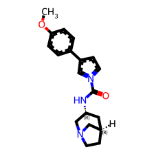 COc1ccc(-c2ccn(C(=O)N[C@@H]3C[C@H]4CCN(C4)C3)c2)cc1